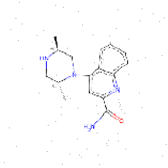 C[C@@H]1CN[C@@H](C)CN1c1cc(C(N)=O)nc2cc[c]cc12